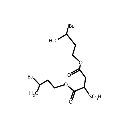 CCC(C)C(C)CCOC(=O)CC(C(=O)OCCC(C)C(C)CC)S(=O)(=O)O